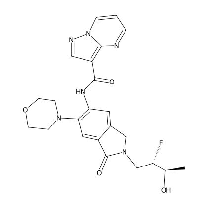 C[C@@H](O)[C@@H](F)CN1Cc2cc(NC(=O)c3cnn4cccnc34)c(N3CCOCC3)cc2C1=O